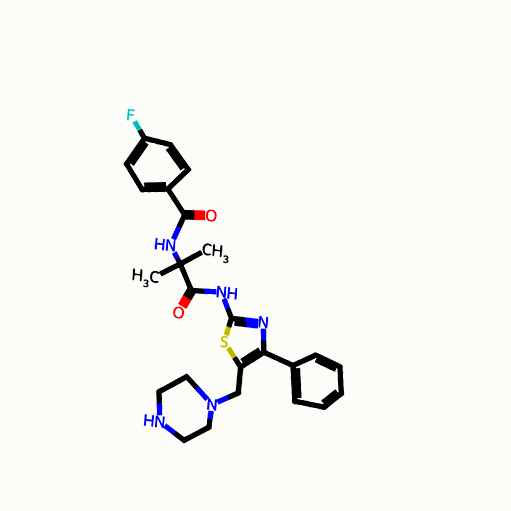 CC(C)(NC(=O)c1ccc(F)cc1)C(=O)Nc1nc(-c2ccccc2)c(CN2CCNCC2)s1